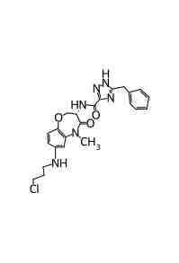 CN1C(=O)[C@@H](NC(=O)c2n[nH]c(Cc3ccccc3)n2)COc2ccc(NCCCCl)cc21